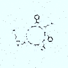 CC(=O)[C@@H]1CSSC[C@H](NC(=O)CN2C(=O)N[C@@H](CCCNC(=N)N)C2=O)C(=O)N[C@H](C)C(=O)N[C@@H](Cc2cnc[nH]2)C(=O)N[C@H](Cc2ccccc2)C(=O)N[C@@H](CCCNC(=N)N)C(=O)N[C@@H](Cc2c[nH]c3ccccc23)C(=O)N1